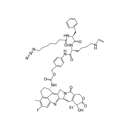 C=CNCCCC[C@H](NC(=O)[C@H](Cc1ccccc1)NC(=O)CCCCCCN=[N+]=[N-])C(=O)Nc1ccc(COC(=O)N[C@H]2CCc3c(C)c(F)cc4nc5c(c2c34)Cn2c-5cc3c(c2=O)COC(=O)[C@]3(O)CC)cc1